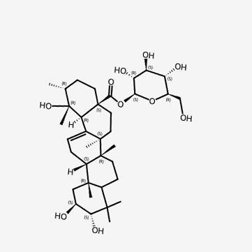 C[C@@H]1CC[C@]2(C(=O)O[C@@H]3O[C@H](CO)[C@@H](O)[C@H](O)[C@H]3O)CC[C@]3(C)C(=CC[C@H]4[C@@]5(C)C[C@H](O)[C@@H](O)C(C)(C)C5CC[C@]43C)[C@H]2[C@]1(C)O